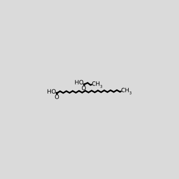 CCCC(=O)O.CCCCCCCCCCCCCCCCCCCCCC(=O)O